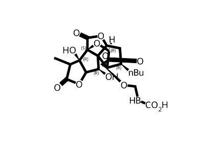 CCCC[C@@H]1CC2OC(=O)[C@]34O[C@@H]5OC(=O)[C@H](OCBC(=O)O)C15C23[C@@H](O)C1OC(=O)C(C)[C@@]14O